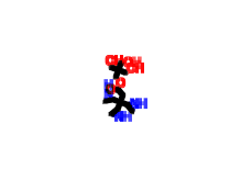 O=C(CC(C1CN1)(C1CN1)C1CN1)OCC(CO)(CO)CO